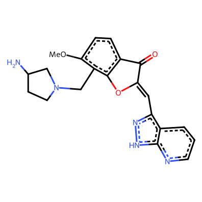 COc1ccc2c(c1CN1CCC(N)C1)OC(=Cc1n[nH]c3ncccc13)C2=O